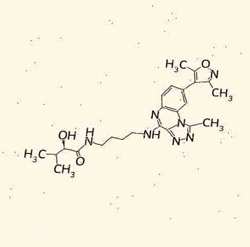 Cc1noc(C)c1-c1ccc2nc(NCCCCNC(=O)[C@H](O)C(C)C)c3nnc(C)n3c2c1